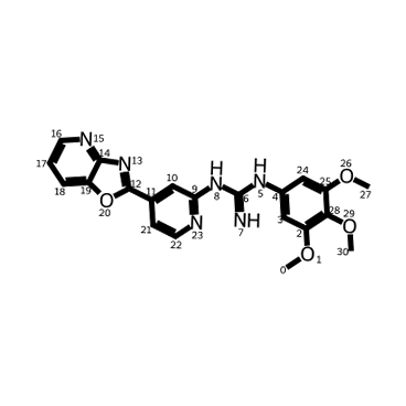 COc1cc(NC(=N)Nc2cc(-c3nc4ncccc4o3)ccn2)cc(OC)c1OC